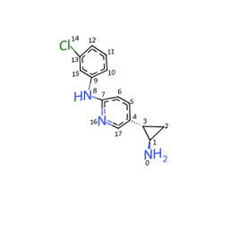 N[C@@H]1C[C@H]1c1ccc(Nc2cccc(Cl)c2)nc1